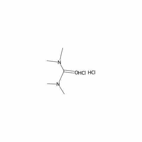 CN(C)C(=O)N(C)C.Cl.Cl